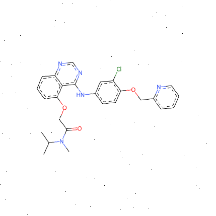 CC(C)N(C)C(=O)COc1cccc2ncnc(Nc3ccc(OCc4ccccn4)c(Cl)c3)c12